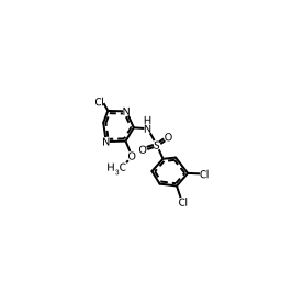 COc1ncc(Cl)nc1NS(=O)(=O)c1ccc(Cl)c(Cl)c1